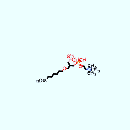 CCCCCCCCCCCCCCCCOCC(COP(O)OCC[N+](C)(C)C)CB(O)O